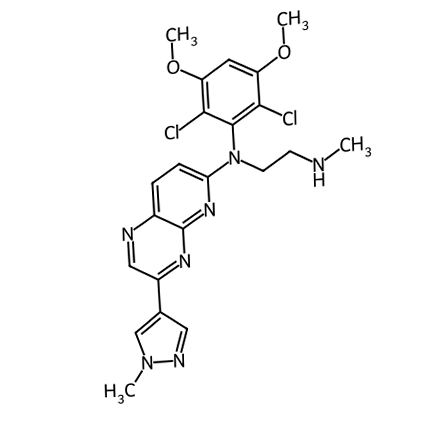 CNCCN(c1ccc2ncc(-c3cnn(C)c3)nc2n1)c1c(Cl)c(OC)cc(OC)c1Cl